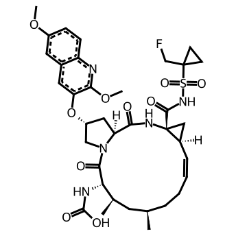 COc1ccc2nc(OC)c(O[C@@H]3C[C@H]4C(=O)N[C@]5(C(=O)NS(=O)(=O)C6(CF)CC6)C[C@H]5/C=C\CC[C@@H](C)C[C@@H](C)[C@H](NC(=O)O)C(=O)N4C3)cc2c1